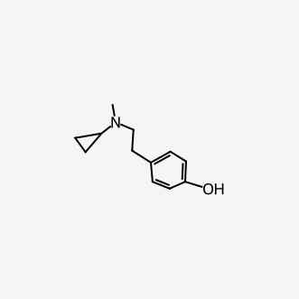 CN(CCc1ccc(O)cc1)C1CC1